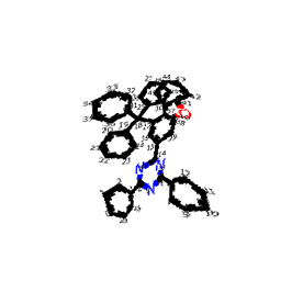 c1ccc(-c2nc(-c3ccccc3)nc(-c3cc(C(c4ccccc4)(c4ccccc4)c4ccccc4)c4c(c3)oc3ccccc34)n2)cc1